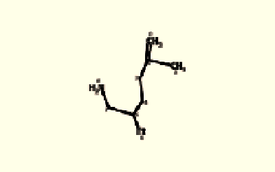 C=C(C)CCC(CC)CN